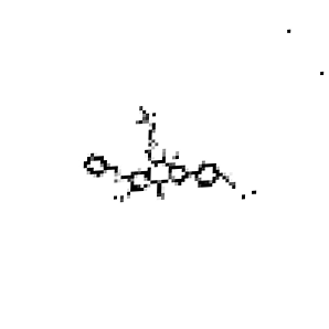 COc1ccc(C2=CN3C(=O)c4cc(OC)c(OCc5ccccc5)cc4N(COCC[Si](C)(C)C)C(=O)[C@@H]3C2)cc1